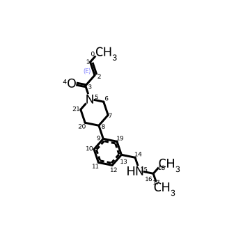 C/C=C/C(=O)N1CCC(c2cccc(CNC(C)C)c2)CC1